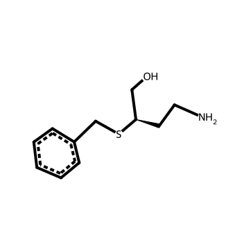 NCC[C@H](CO)SCc1ccccc1